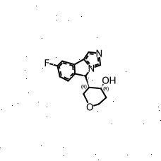 O[C@@H]1CCOC[C@H]1C1c2ccc(F)cc2-c2cncn21